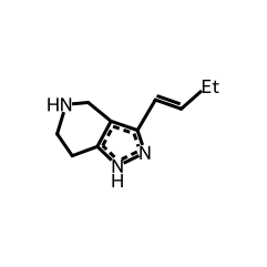 CC/C=C/c1n[nH]c2c1CNCC2